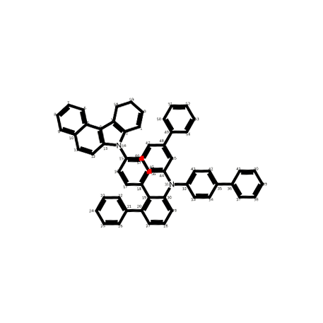 C1=Cc2c(c3c4ccccc4ccc3n2-c2ccc(-c3c(-c4ccccc4)cccc3N(c3ccc(-c4ccccc4)cc3)c3cccc(-c4ccccc4)c3)cc2)CC1